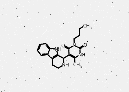 CCCCn1c(=O)[nH]c(C)c(C2NCCc3c2[nH]c2ccccc32)c1=O